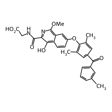 COc1nc(C(=O)NCC(=O)O)c(O)c2ccc(Oc3c(C)cc(C(=O)c4cccc(C)c4)cc3C)cc12